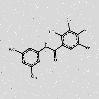 O=C(Nc1cc(C(F)(F)F)cc(C(F)(F)F)c1)c1cc(Br)c(Cl)c(Br)c1O